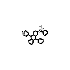 c1ccc([SiH2]c2ccc3c(-c4ccncc4)c4ccccc4c(-c4ccccc4)c3c2)cc1